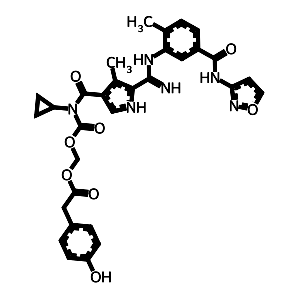 Cc1ccc(C(=O)Nc2ccon2)cc1NC(=N)c1[nH]cc(C(=O)N(C(=O)OCOC(=O)Cc2ccc(O)cc2)C2CC2)c1C